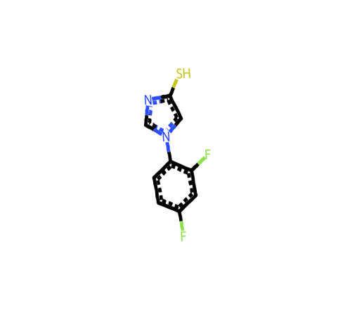 Fc1ccc(-n2cnc(S)c2)c(F)c1